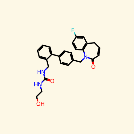 O=C(NCCO)NCc1ccccc1-c1ccc(CN2C(=O)C=CCc3cc(F)ccc32)cc1